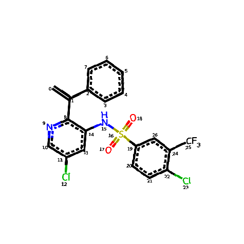 C=C(c1ccccc1)c1ncc(Cl)cc1NS(=O)(=O)c1ccc(Cl)c(C(F)(F)F)c1